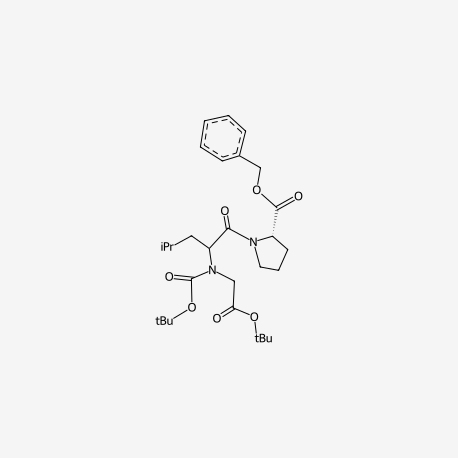 CC(C)CC(C(=O)N1CCC[C@H]1C(=O)OCc1ccccc1)N(CC(=O)OC(C)(C)C)C(=O)OC(C)(C)C